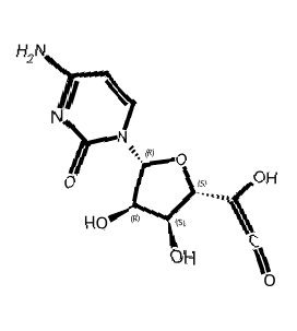 Nc1ccn([C@@H]2O[C@H](C(O)=C=O)[C@@H](O)[C@H]2O)c(=O)n1